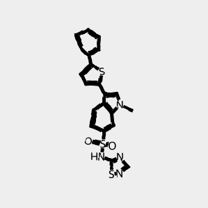 Cn1cc(-c2ccc(-c3ccccc3)s2)c2ccc(S(=O)(=O)Nc3ncns3)cc21